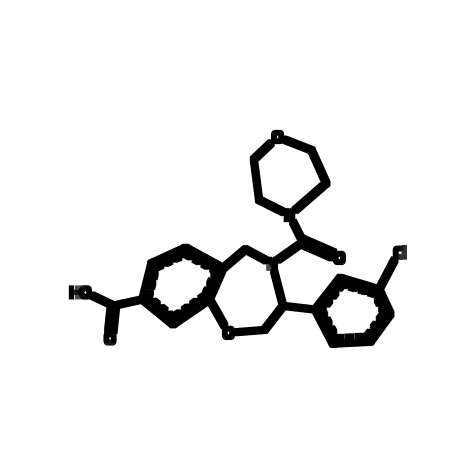 O=C(O)c1ccc2c(c1)OCC(c1cccc(Cl)c1)N(C(=O)N1CCOCC1)C2